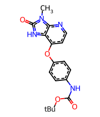 Cn1c(=O)[nH]c2c(Oc3ccc(NC(=O)OC(C)(C)C)cc3)ccnc21